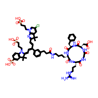 CC1(C)C(/C=C/C(=C/C=C2\N(CCCS(=O)(=O)O)c3ccc(S(=O)(=O)O)cc3C2(C)C)c2cccc(CCC(=O)NCCCC[C@@H]3NC(=O)[C@@H](Cc4ccccc4)NC(=O)[C@H](CC(=O)O)NC(=O)CNC(=O)[C@H](CCCNC(=N)N)NC3=O)c2)=Nc2c1cc(Cl)c[n+]2CCCS(=O)(=O)O